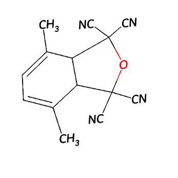 CC1=CC=C(C)C2C1C(C#N)(C#N)OC2(C#N)C#N